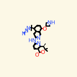 C[C@@H]1c2nc(Nc3cc4c(C(C)(C)N=[N+]=[N-])ccc(OC5CNC5)c4cn3)ccc2C(=O)OC1(C)C